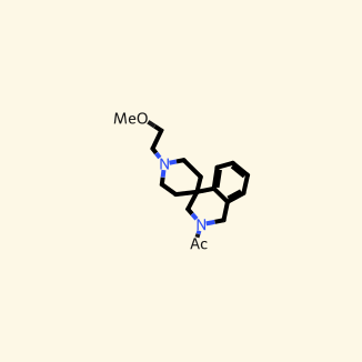 COCCN1CCC2(CC1)CN(C(C)=O)Cc1ccccc12